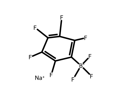 Fc1c(F)c(F)c([B-](F)(F)F)c(F)c1F.[Na+]